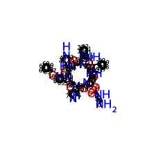 NCCNC(=O)O[C@@H]1C[C@H]2C(=O)N[C@@H](CCc3ccccc3)C(=O)N[C@H](Cc3c[nH]c4ccccc34)C(=O)N[C@@H](CN3CCNCC3)C(=O)N[C@@H](Cc3ccc(OCc4ccccc4)cc3)C(=O)N[C@@H](Cc3cccnc3)C(=O)N2C1